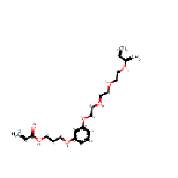 C=CC(=C)OCCOCCOCCOc1cccc(OCCCOC(=O)C=C)c1